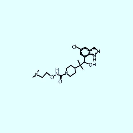 CN(C)CCONC(=O)N1CCC(C(C)(C)C(O)c2cc(Cl)cc3cn[nH]c23)CC1